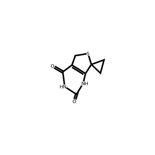 O=c1[nH]c2c(c(=O)[nH]1)CSC21CC1